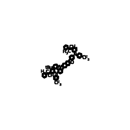 CC(C)(C)c1ccc2c(c1)c1c(N(c3ccc(C(F)(F)F)cc3)c3cccc(C(C)(C)c4ccccc4)c3)ccc3c4cc5cc6oc7cc(N(c8ccc(C(F)(F)F)cc8)c8cccc(C(C)(C)c9ccccc9)c8)ccc7c6cc5cc4n2c31